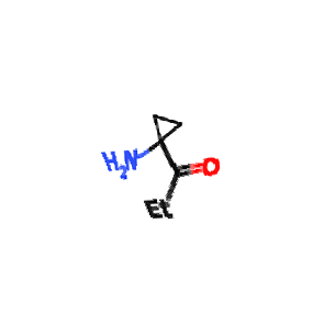 CCC(=O)C1(N)CC1